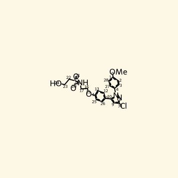 COc1ccc(-n2nc(Cl)cc2-c2ccc(OCCNS(=O)(=O)CCO)cc2)cc1